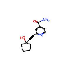 NC(=O)c1ccnc(C#CC2(O)CCCCC2)c1